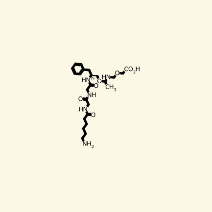 CC(NCOCC(=O)O)OC[C@H](Cc1ccccc1)NC(=O)CNC(=O)CNC(=O)CCCCCN